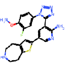 NOc1ccc(-n2nnnc2-c2cc(-c3cc4c(s3)CCNCC4)cnc2N)cc1F